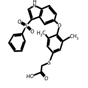 Cc1cc(SCC(=O)O)cc(C)c1Oc1ccc2[nH]cc(S(=O)(=O)c3ccccc3)c2c1